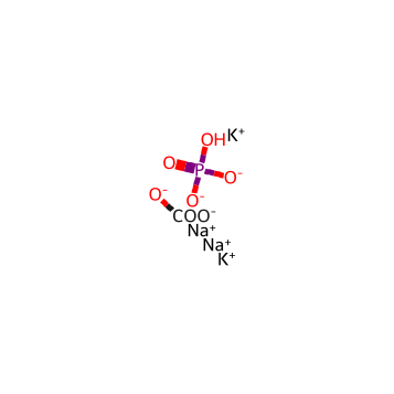 O=C([O-])[O-].O=P([O-])([O-])O.[K+].[K+].[Na+].[Na+]